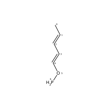 C/C=C/C=C/OP